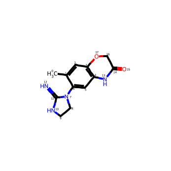 Cc1cc2c(cc1N1CCNC1=N)NC(=O)CO2